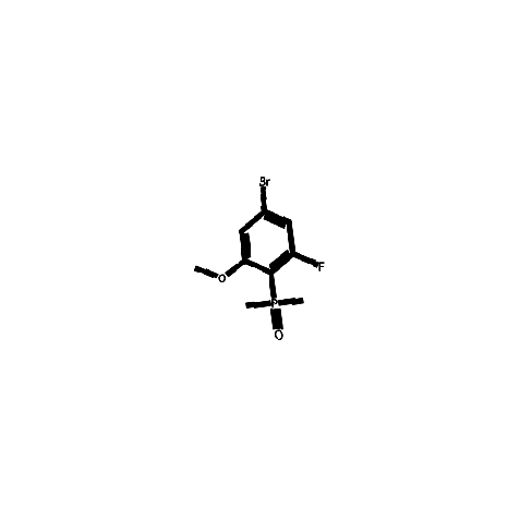 COc1cc(Br)cc(F)c1P(C)(C)=O